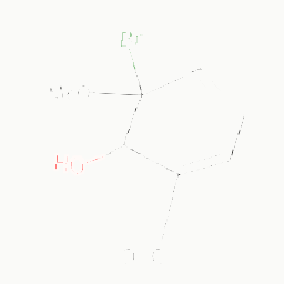 COC1(Br)C=CC=C(C=O)C1O